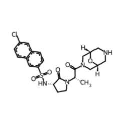 C[C@@H](C(=O)N1C[C@H]2CNC[C@@H](C1)O2)N1CC[C@H](NS(=O)(=O)c2ccc3cc(Cl)ccc3c2)C1=O